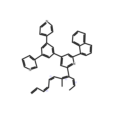 C=C\C=C/C=C\C(C)=C(\C=C/C)c1cc(-c2cc(-c3ccncc3)cc(-c3cccnc3)c2)cc(-c2cccc3ccccc23)n1